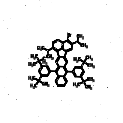 CC(C)c1cc2c3c(c(C(C)C)ccc3c1Br)-c1cc3c(-c4cc(C(C)(C)C)cc(C(C)(C)C)c4)c4ccccc4c(-c4cc(C(C)(C)C)cc(C(C)(C)C)c4)c3cc1-2